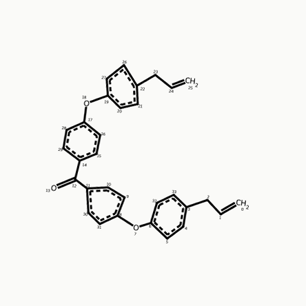 C=CCc1ccc(Oc2ccc(C(=O)c3ccc(Oc4ccc(CC=C)cc4)cc3)cc2)cc1